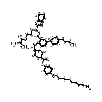 C=CCCCCCCCCOc1ccc(OC(=O)C2CCC(COc3ccc(-c4ccc(CCC=C)cc4)cc3/C=N/N(CCCOC(=O)C(=C)C(F)(F)F)c3nc4ccccc4s3)CC2)cc1